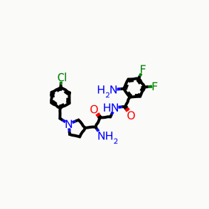 Nc1cc(F)c(F)cc1C(=O)NCC(=O)C(N)C1CCN(Cc2ccc(Cl)cc2)C1